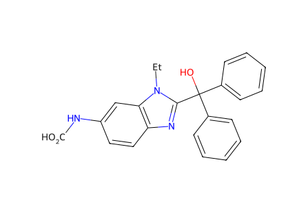 CCn1c(C(O)(c2ccccc2)c2ccccc2)nc2ccc(NC(=O)O)cc21